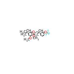 COc1cc(C(C)(C)C)cc(OCCC(C)(C)c2cccc(OC(F)(F)F)c2)c1OC